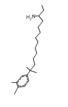 CCC(N)CCCCCCCCCC(C)(C)c1ccc(C)c(C)c1